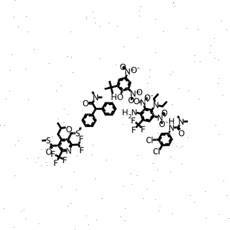 CC(C)(C)c1cc([N+](=O)[O-])cc([N+](=O)[O-])c1O.CCN(CC)c1c([N+](=O)[O-])cc(C(F)(F)F)c(N)c1[N+](=O)[O-].CN(C)C(=O)C(c1ccccc1)c1ccccc1.CN(C)C(=O)Nc1ccc(Cl)c(Cl)c1.CSC(=O)c1c(C(F)F)nc(C(F)(F)F)c(C(=O)SC)c1CC(C)C